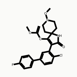 C=C(OC)OC1=C(c2cc(-c3ccc(F)cc3)ccc2Cl)C(=O)NC12CCN(OC)CC2